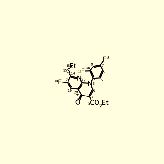 CCOC(=O)c1cn(-c2ccc(F)cc2F)c2nc(SCC)c(F)cc2c1=O